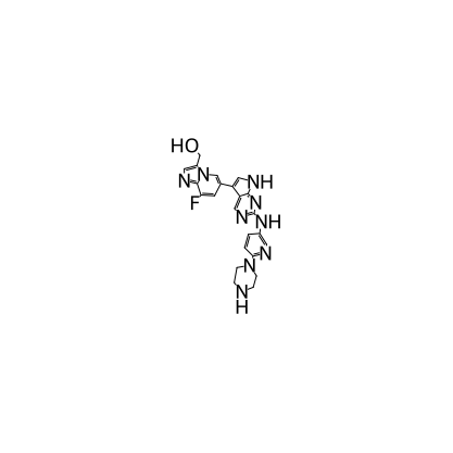 OCc1cnc2c(F)cc(-c3c[nH]c4nc(Nc5ccc(N6CCNCC6)nc5)ncc34)cn12